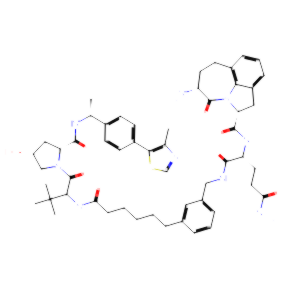 Cc1ncsc1-c1ccc([C@H](C)NC(=O)[C@@H]2C[C@@H](O)CN2C(=O)C(NC(=O)CCCCCc2cccc(CNC(=O)[C@H](CCC(N)=O)NC(=O)[C@@H]3Cc4cccc5c4N3C(=O)[C@@H](N)CC5)c2)C(C)(C)C)cc1